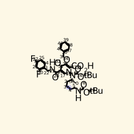 C[C@@H](C/C=C\CNC(=O)OC(C)(C)C)N(C(=O)OC(C)(C)C)n1cc(C(=O)NCc2ccc(F)cc2F)c(=O)c(OCc2ccccc2)c1C(=O)O